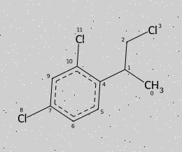 CC(CCl)c1ccc(Cl)cc1Cl